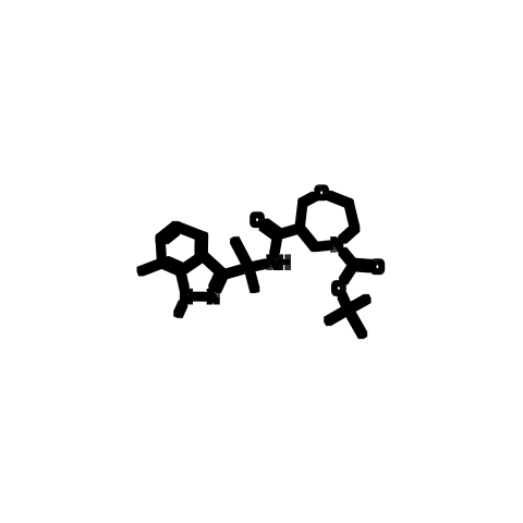 Cc1cccc2c(C(C)(C)NC(=O)C3COCCN(C(=O)OC(C)(C)C)C3)nn(C)c12